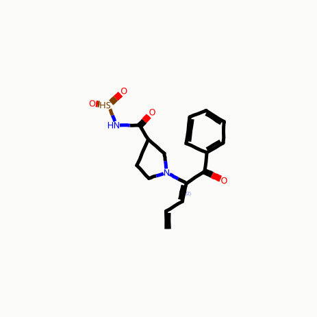 C=C/C=C(/C(=O)c1ccccc1)N1CCC(C(=O)N[SH](=O)=O)C1